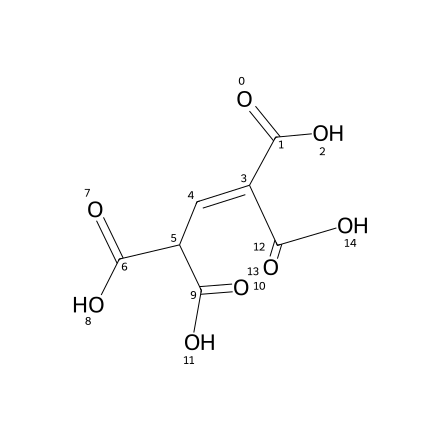 O=C(O)C(=CC(C(=O)O)C(=O)O)C(=O)O